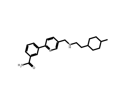 CC1CCC(CCNCc2ccc(-c3cccc(C(N)=O)c3)nc2)CC1